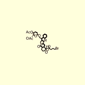 CC[C@@]1(OC(=O)CCCBr)C(=O)CCc2c1cc1n(c2=O)Cc2c-1nc1ccccc1c2CO[C@@H]1C=C[C@H](OC(C)=O)[C@@H](COC(C)=O)O1